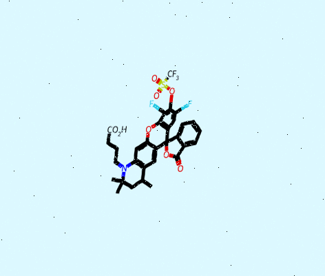 CC1CC(C)(C)N(CCCC(=O)O)c2cc3c(cc21)C1(OC(=O)c2ccccc21)c1cc(F)c(OS(=O)(=O)C(F)(F)F)c(F)c1O3